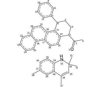 CC(=O)C1CCC(c2ccccc2)c2c1ccc1c2ccc2ccccc21.CC1=CC(C)(C)Nc2ccc(C)cc21